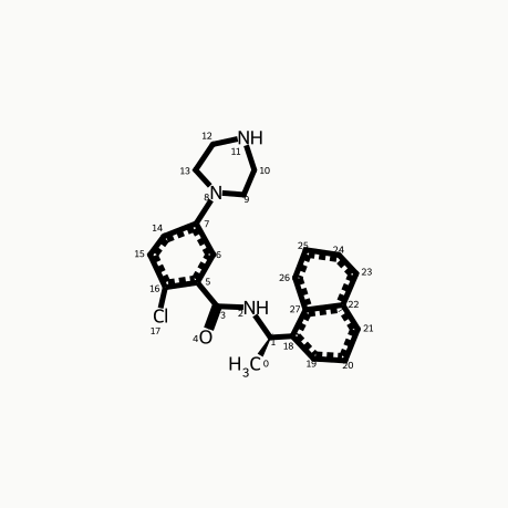 C[C@@H](NC(=O)c1cc(N2CCNCC2)ccc1Cl)c1cccc2ccccc12